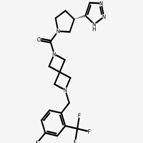 O=C(N1CC[C@H](c2cnn[nH]2)C1)N1CC2(CN(Cc3ccc(F)cc3C(F)(F)F)C2)C1